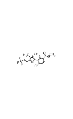 COC(=O)c1ccc(Cl)c(-c2nc(/C=C/C(F)(F)F)c(C)n2C)n1